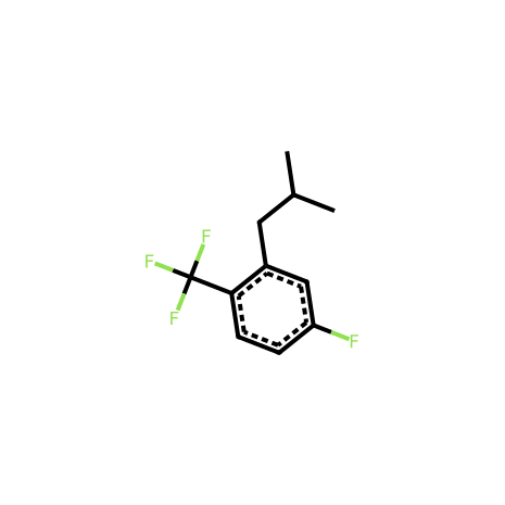 CC(C)Cc1cc(F)ccc1C(F)(F)F